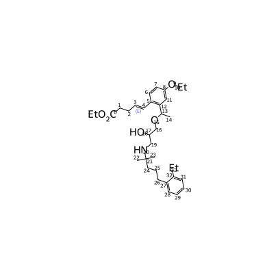 CCOC(=O)CC/C=C/c1ccc(OCC)cc1C(C)OCC(O)CNC(C)(C)CCCc1ccccc1CC